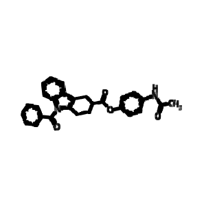 CC(=O)Nc1ccc(OC(=O)C2CCc3c(c4ccccc4n3C(=O)c3ccccc3)C2)cc1